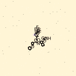 CC1(C)C(/C=C\C(=O)OC(C(F)(F)F)C(F)(F)F)C1C(=O)OC(C#N)c1cccc(Oc2ccccc2)c1.CNC(=O)Oc1cccc2ccccc12